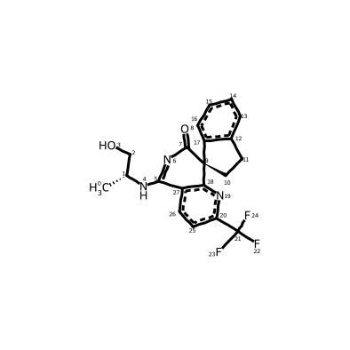 C[C@H](CO)NC1=NC(=O)[C@@]2(CCc3ccccc32)c2nc(C(F)(F)F)ccc21